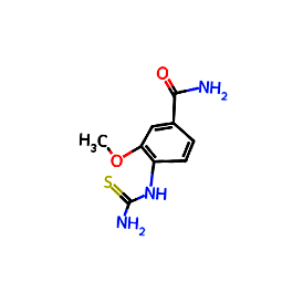 COc1cc(C(N)=O)ccc1NC(N)=S